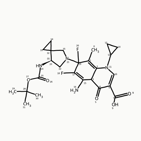 CC1=C2C(C(=O)C(C(=O)O)=CN2C2CC2)C(N)=C(F)C1(F)N1C[C@@H](NC(=O)OC(C)(C)C)C2(CC2)C1